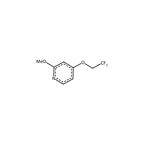 COc1cc(OCC(F)(F)F)ccn1